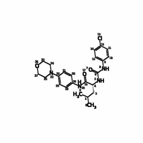 CC(C)C[C@@H](NC(=O)Nc1ccc(Cl)cc1)C(=O)Nc1ccc(N2CCOCC2)cc1